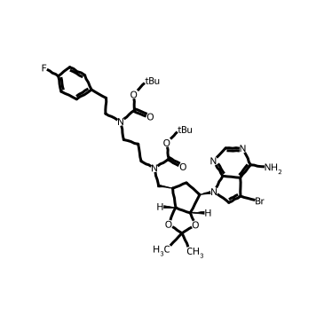 CC(C)(C)OC(=O)N(CCCN(C[C@H]1C[C@@H](n2cc(Br)c3c(N)ncnc32)[C@@H]2OC(C)(C)O[C@H]12)C(=O)OC(C)(C)C)CCc1ccc(F)cc1